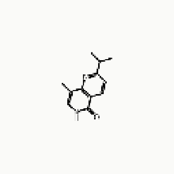 Cc1c[nH]c(=O)c2ccc(C(C)C)nc12